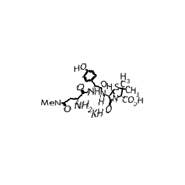 CNC(=O)C[C@@H](N)C(=O)N[C@@H](C(=O)N[C@@H]1C(=O)N2[C@@H]1SC(C)(C)[C@@H]2C(=O)O)c1ccc(O)cc1.[KH]